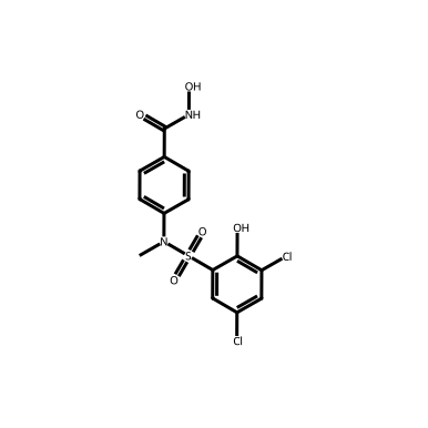 CN(c1ccc(C(=O)NO)cc1)S(=O)(=O)c1cc(Cl)cc(Cl)c1O